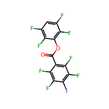 O=C(Oc1c(F)c(F)cc(F)c1F)c1c(F)c(F)c(I)c(F)c1F